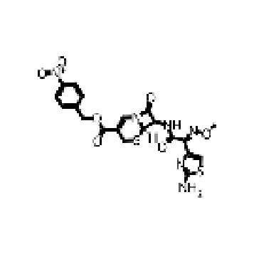 CON=C(C(=O)NC1C(=O)N2C=C(C(=O)OCc3ccc([N+](=O)[O-])cc3)CS[C@H]12)c1csc(N)n1